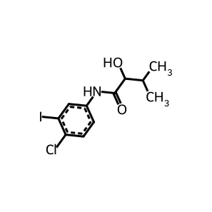 CC(C)C(O)C(=O)Nc1ccc(Cl)c(I)c1